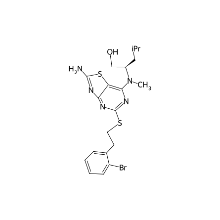 CC(C)C[C@H](CO)N(C)c1nc(SCCc2ccccc2Br)nc2nc(N)sc12